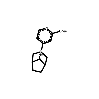 COc1cc(N2CC3CCC(C2)C3N)ccn1